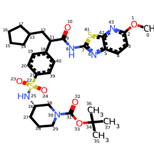 COc1ccc2nc(NC(=O)C(CC3CCCC3)c3ccc(S(=O)(=O)N[C@H]4CCCN(C(=O)OC(C)(C)C)C4)cc3)sc2n1